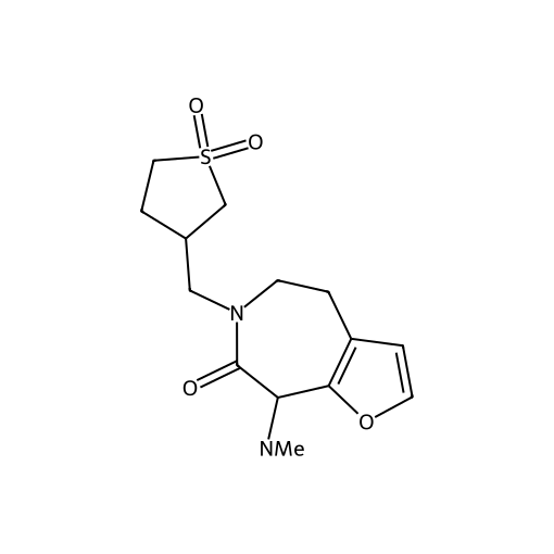 CNC1C(=O)N(CC2CCS(=O)(=O)C2)CCc2ccoc21